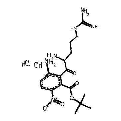 CC(C)(C)OC(=O)c1c([N+](=O)[O-])ccc(N)c1C(=O)C(N)CCCNC(=N)N.Cl.Cl